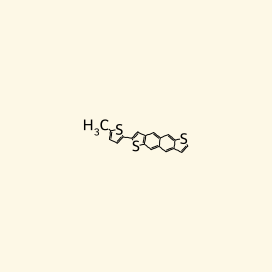 Cc1ccc(-c2cc3cc4cc5sccc5cc4cc3s2)s1